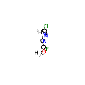 [2H]c1cc(Cl)cc2cnn(Cc3ccc(-c4ccc(OC)c(F)c4)nc3)c12